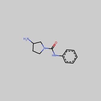 NC1CCN(C(=O)Nc2ccccc2)C1